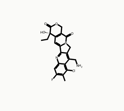 CC[C@@]1(O)C(=O)OCc2c1cc1n(c2=O)Cc2c-1nc1cc(F)c(C)c(Cl)c1c2CN